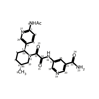 CC(=O)Nc1ccc([C@@H]2CC[C@@H](C)CN2C(=O)C(=O)Nc2cncc(C(N)=O)c2)cn1